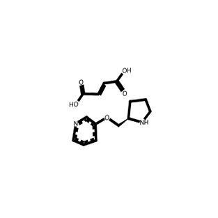 O=C(O)C=CC(=O)O.c1cncc(OC[C@H]2CCCN2)c1